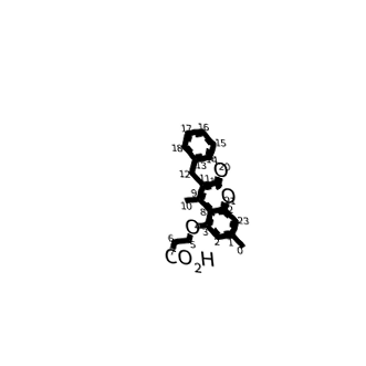 Cc1cc(OCCC(=O)O)c2c(C)c(Cc3ccccc3)c(=O)oc2c1